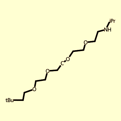 CC(C)NCCOCCOCCOCCOCCC(C)(C)C